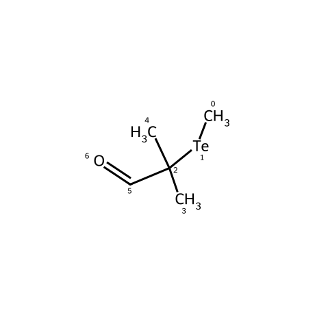 C[Te]C(C)(C)C=O